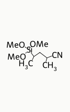 CO[Si](OC)(OC)C(C)CC(C)C#N